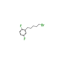 Fc1ccc(F)c(CCCCCBr)c1